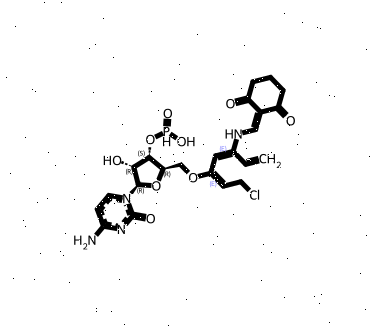 C=C/C(=C\C(=C/CCl)OC[C@H]1O[C@@H](n2ccc(N)nc2=O)[C@H](O)[C@@H]1O[PH](=O)O)NC=C1C(=O)CCCC1=O